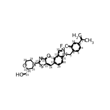 C=C(C)c1ccc(Cn2ncc3cc(C=C4SC(N5CCO[C@@H](CO)C5)=NC4=O)ccc32)c(C(F)(F)F)c1